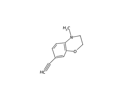 C#Cc1ccc2c(c1)OCCN2C